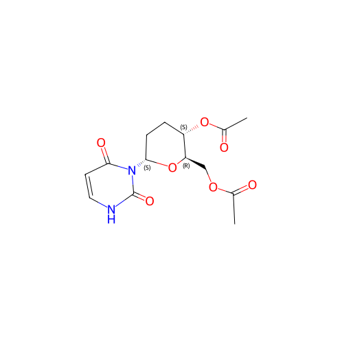 CC(=O)OC[C@H]1O[C@H](n2c(=O)cc[nH]c2=O)CC[C@@H]1OC(C)=O